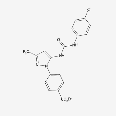 CCOC(=O)c1ccc(-n2nc(C(F)(F)F)cc2NC(=O)Nc2ccc(Cl)cc2)cc1